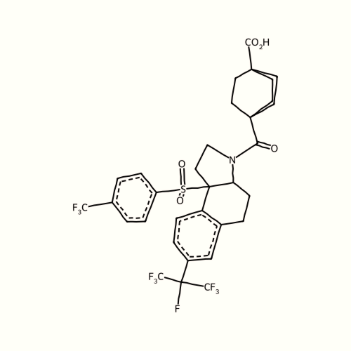 O=C(O)C12CCC(C(=O)N3CCC4(S(=O)(=O)c5ccc(C(F)(F)F)cc5)c5ccc(C(F)(C(F)(F)F)C(F)(F)F)cc5CCC34)(CC1)CC2